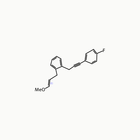 CO/C=C/Cc1ccccc1CC#Cc1ccc(F)cc1